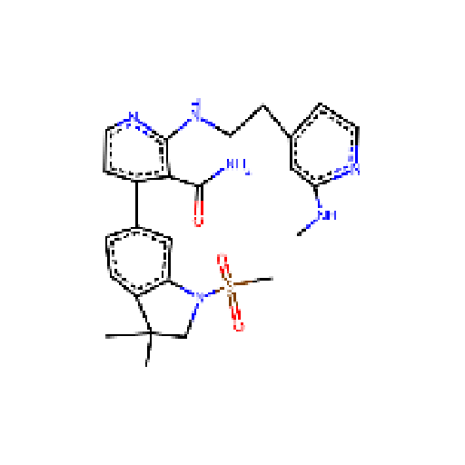 CNc1cc(CCNc2nccc(-c3ccc4c(c3)N(S(C)(=O)=O)CC4(C)C)c2C(N)=O)ccn1